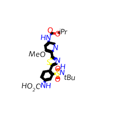 COc1cc(NC(=O)OC(C)C)cnc1-c1ncc(-c2ccc(NC(=O)O)cc2S(=O)(=O)NC(C)(C)C)s1